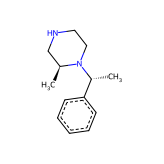 C[C@H](c1ccccc1)N1CCNC[C@@H]1C